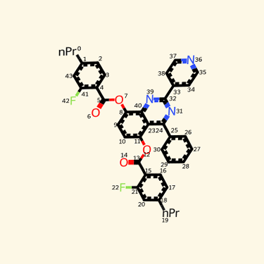 CCCc1ccc(C(=O)Oc2ccc(OC(=O)c3ccc(CCC)cc3F)c3c(-c4ccccc4)nc(-c4ccncc4)nc23)c(F)c1